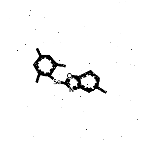 Cc1cc(C)c([Se]c2nc3cc(C)ccc3o2)c(C)c1